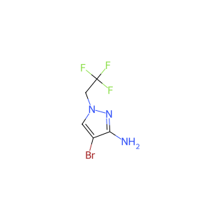 Nc1nn(CC(F)(F)F)cc1Br